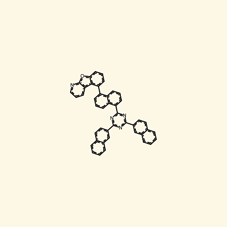 c1ccc2cc(-c3nc(-c4ccc5ccccc5c4)nc(-c4cccc5c(-c6cccc7oc8ncccc8c67)cccc45)n3)ccc2c1